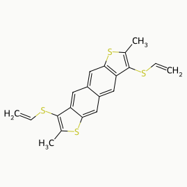 C=CSc1c(C)sc2cc3cc4c(SC=C)c(C)sc4cc3cc12